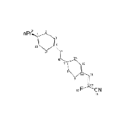 CCC[C@H]1CC[C@H](CCC2CCC(C=C(F)C#N)CC2)CC1